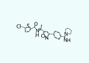 C[C@H](NC(=O)c1ccc(Cl)s1)c1cc(-c2ccc(C(=N)N3CCCC3)cc2)no1